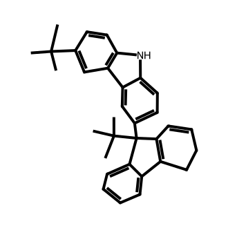 CC(C)(C)c1ccc2[nH]c3ccc(C4(C(C)(C)C)C5=C(CCC=C5)c5ccccc54)cc3c2c1